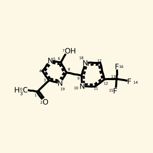 CC(=O)c1cnc(O)c(-c2ncc(C(F)(F)F)cn2)n1